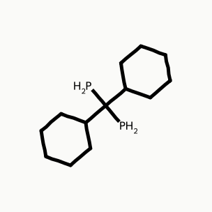 PC(P)(C1CCCCC1)C1CCCCC1